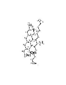 CCCCCCCCCCCCCC.CCCCCCCCCCCCCCCCCCN.CCCCCCCCCCCCCCCCN.N